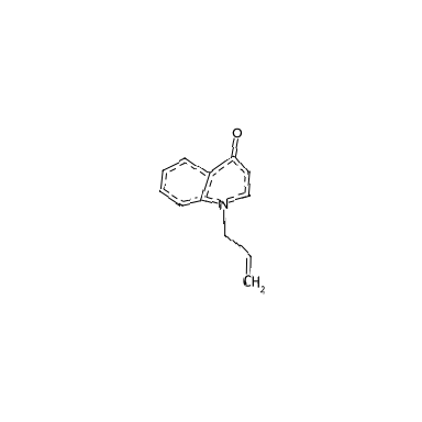 C=CCn1ccc(=O)c2ccccc21